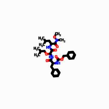 CON(C)C(=O)C(CC(C)C)NC(=O)C(NC(=O)C(Cc1ccccc1)NC(=O)OCc1ccccc1)OCC(C)C